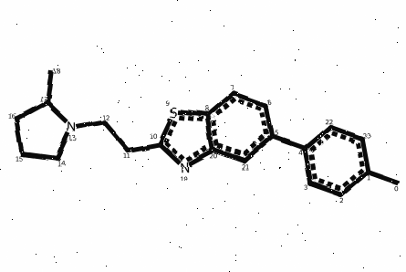 Cc1ccc(-c2ccc3sc(CCN4CCCC4C)nc3c2)cc1